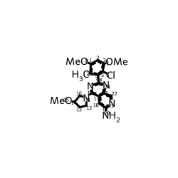 COc1cc(OC)c(Cl)c(-c2nc(N3CCC(OC)C3)c3cc(N)ncc3n2)c1C